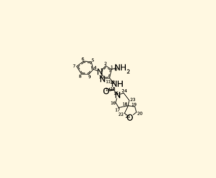 Nc1cn(-c2ccccc2)nc1NC(=O)N1CCC2(CCOC2)CC1